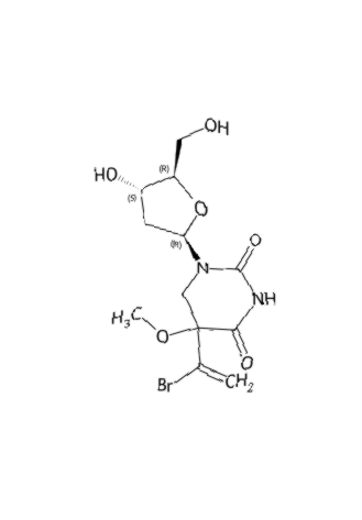 C=C(Br)C1(OC)CN([C@H]2C[C@H](O)[C@@H](CO)O2)C(=O)NC1=O